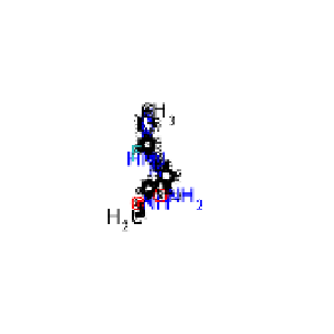 C=CC(=O)Nc1cccc(-c2c(C(N)=O)ccc3cnc(Nc4ccc(N5CCN(C)CC5)cc4F)nc23)c1